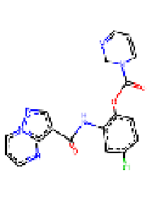 O=C(Nc1cc(Cl)ccc1OC(=O)N1C=CC=NC1)c1cnn2cccnc12